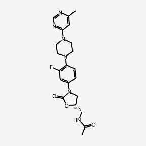 CC(=O)NC[C@H]1CN(c2ccc(N3CCN(c4cc(C)ncn4)CC3)c(F)c2)C(=O)O1